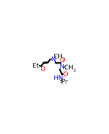 CCC(=O)/C=C/CN(C)CC(=O)N(C)CC(=O)NC(C)C